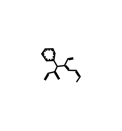 C=CC(=C)C(/C(C=C)=C/C=C\C)c1ccccc1